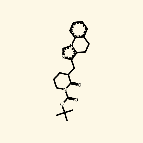 CC(C)(C)OC(=O)N1CCCC(Cc2ncn3c2CCc2ccccc2-3)C1=O